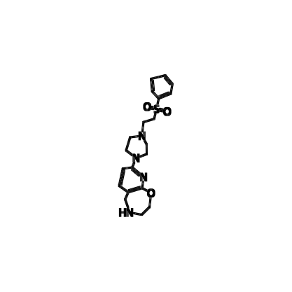 O=S(=O)(CCN1CCN(c2ccc3c(n2)OCCNC3)CC1)c1ccccc1